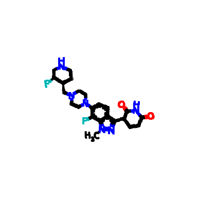 Cn1nc(C2CCC(=O)NC2=O)c2ccc(N3CCN(C[C@@H]4CCNC[C@@H]4F)CC3)c(F)c21